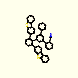 N#Cc1ccccc1-c1cc(-c2ccccc2)cc(-c2c(-c3ccc4c(c3)sc3ccccc34)cccc2-c2ccc3c(c2)sc2ccccc23)c1